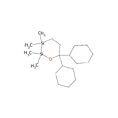 C[Si]1(C)CCC(C2CCCCC2)(C2CCCCC2)O[Si]1(C)C